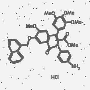 COC(=O)c1c(-c2cc(OC)c(OC)c(OC)c2)c2cc(OC)c(OCc3cccc4ccccc34)cc2c(=O)n1-c1ccc(N)cc1.Cl